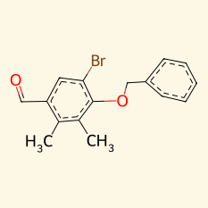 Cc1c(C=O)cc(Br)c(OCc2ccccc2)c1C